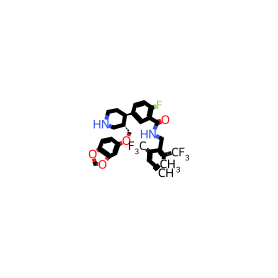 C#C/C=C(\C(CNC(=O)c1cc([C@@H]2CCNC[C@H]2COc2ccc3c(c2)OCO3)ccc1F)=C(/C)C(F)(F)F)C(F)(F)F